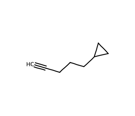 C#CCCCC1CC1